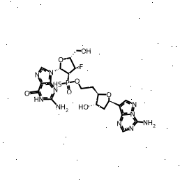 Nc1nc2c(ncn2[C@@H]2O[C@H](CO)[C@@H](F)[C@H]2P(=O)(S)OCC[C@H]2O[C@@H](c3cnn4c(N)ncnc34)C[C@@H]2O)c(=O)[nH]1